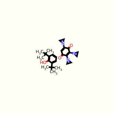 CC(C)(C)c1cccc(C(C)(C)C)c1O.O=C1C=C(N2CC2)C(=O)C(N2CC2)=C1N1CC1